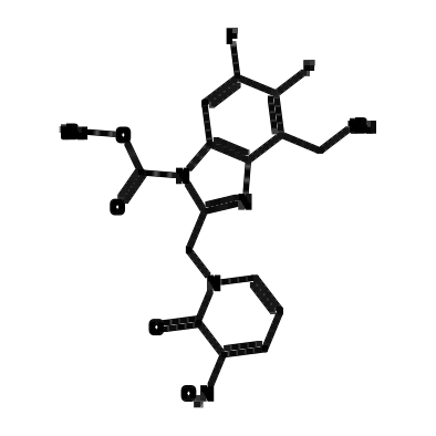 CC(C)(C)Cc1c(F)c(F)cc2c1nc(Cn1cccc([N+](=O)[O-])c1=O)n2C(=O)OC(C)(C)C